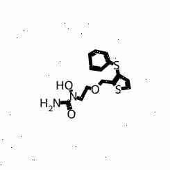 NC(=O)N(O)CCOCc1sccc1Sc1ccccc1